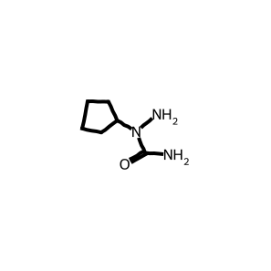 NC(=O)N(N)C1CCCC1